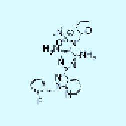 CN(C)S(=O)(=O)N(CC1CCCO1)c1c(N)nc(-c2nn(Cc3ccccc3F)c3ncccc23)nc1N